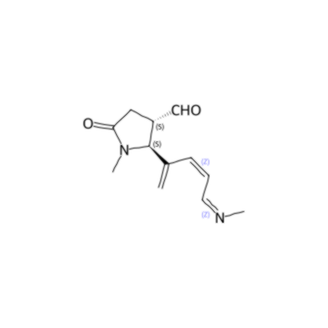 C=C(/C=C\C=N/C)[C@@H]1[C@@H](C=O)CC(=O)N1C